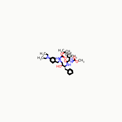 CC[C@H](C)[C@H](NC(=O)OC)C(=O)N[C@@H](Cc1ccccc1)[C@@H](O)CN(Cc1ccc(N(CC)CC)cc1)NC(=O)OC(C)(C)C